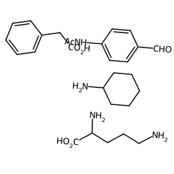 CC(=O)Nc1ccc(C=O)cc1.NC1CCCCC1.NCCCC(N)C(=O)O.O=C(O)Cc1ccccc1